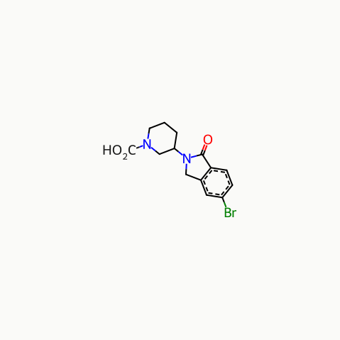 O=C(O)N1CCCC(N2Cc3cc(Br)ccc3C2=O)C1